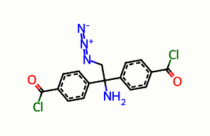 [N-]=[N+]=NCC(N)(c1ccc(C(=O)Cl)cc1)c1ccc(C(=O)Cl)cc1